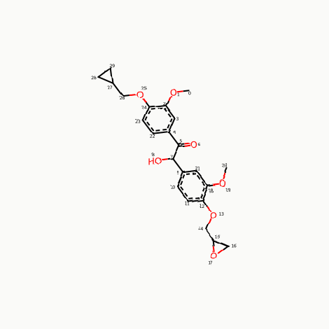 COc1cc(C(=O)C(O)c2ccc(OCC3CO3)c(OC)c2)ccc1OCC1CC1